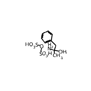 CC(N)(O)Cc1ccccc1.O=S(=O)(O)OS(=O)(=O)O